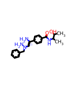 CC(O)C(C)NC(=O)c1ccc(/C(N)=C/N(N)Cc2ccccc2)cc1